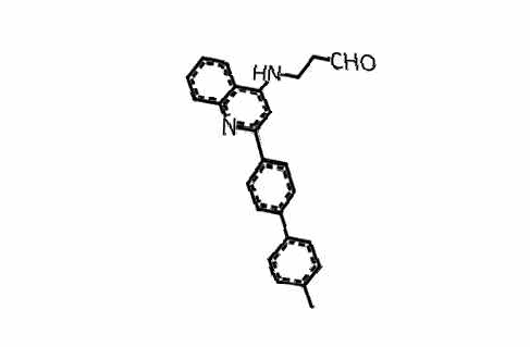 Cc1ccc(-c2ccc(-c3cc(NCCC=O)c4ccccc4n3)cc2)cc1